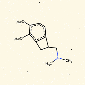 COc1ccc2c(c1OC)CC2CN(C)C